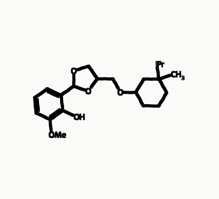 COc1cccc(C2OCC(COC3CCCC(C)(C(C)C)C3)O2)c1O